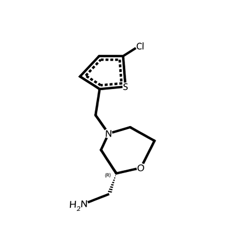 NC[C@@H]1CN(Cc2ccc(Cl)s2)CCO1